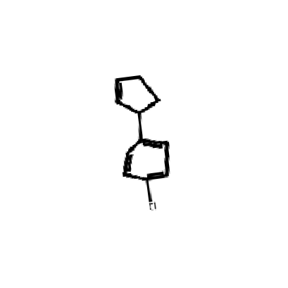 Clc1ccc(C2C=CCC2)cc1